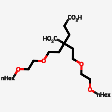 CCCCCCOCCOCCC(CCOCCOCCCCCC)(CCC(=O)O)C(=O)O